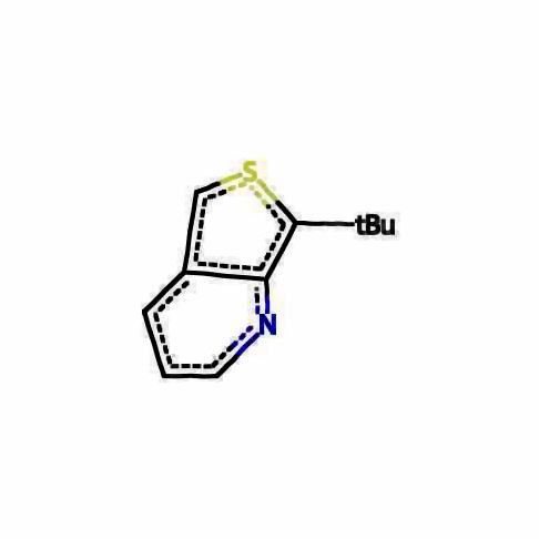 CC(C)(C)c1scc2cccnc12